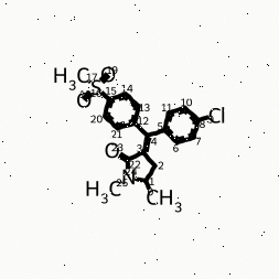 CC1CC(=C(c2ccc(Cl)cc2)c2ccc(S(C)(=O)=O)cc2)C(=O)N1C